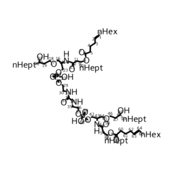 CCCCCC/C=C/CCCC(=O)O[C@H](CCCCCCC)CC(=O)NC(COCC[C@H](O)CCCCCCC)COP(=O)(O)OCCNC(=O)NCCOP(=O)(O)OCC(COCC[C@H](O)CCCCCCC)NC(=O)C[C@@H](CCCCCCC)OC(=O)CCC/C=C/CCCCCC